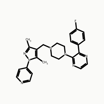 Cc1nn(-c2ccncc2)c(C)c1CN1CCN(c2nccnc2-c2ccc(F)cc2)CC1